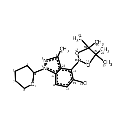 Cc1nn(C2CCCCO2)c2ccc(Cl)c(B3OC(C)(C)C(C)(C)O3)c12